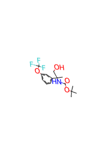 CC(C)(C)OC(=O)NC(C)(CO)c1cccc(OC(F)(F)F)c1